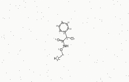 CCONC(=O)C(Cl)c1ccccc1